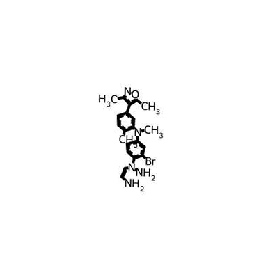 Cc1ccc(-c2c(C)noc2C)cc1N(C)c1ccc(N(N)/C=C\N)c(Br)c1